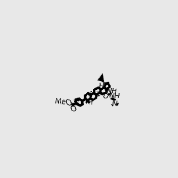 COC(=O)c1ccc(C2=CC[C@]3(C)C4CC[C@@H]5C6[C@H](C7CC7)CC[C@]6(NC(=O)NCCN(C)C)CC[C@@]5(C)[C@]4(C)CC[C@H]3C2(C)C)cc1